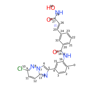 Cc1ccc(-c2cn3nc(Cl)ccc3n2)cc1NC(=O)c1cccc(/C=C/C(=O)NO)c1